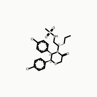 CCC[C@@H](CNS(C)(=O)=O)N1C(=O)CO[C@@H](c2ccc(Cl)cc2)[C@H]1c1ccc(Cl)cc1